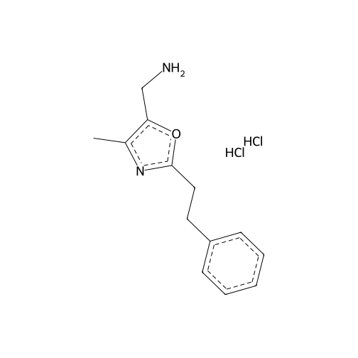 Cc1nc(CCc2ccccc2)oc1CN.Cl.Cl